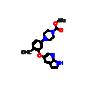 CC(C)(C)OC(=O)N1CCN(c2ccc(C=O)c(Oc3cnc4[nH]ccc4c3)c2)CC1